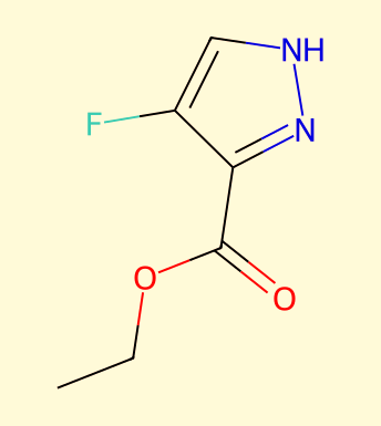 CCOC(=O)c1n[nH]cc1F